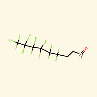 [O]=[SnH][CH2]CC(F)(F)C(F)(F)C(F)(F)C(F)(F)C(F)(F)C(F)(F)F